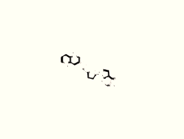 Clc1ncnc2c1ccn2[C@H]1CC[C@@H](COc2cnc3cccnc3c2)O1